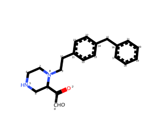 O=CC(=O)C1CNCCN1CCc1ccc(Cc2ccccc2)cc1